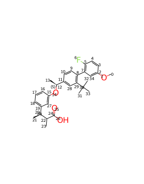 COc1ccc(F)c(-c2ccc([C@H](C)Oc3cccc([C@H](C)C(C)C(=O)O)c3)cc2C(C)(C)C)c1